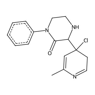 CC1=CC(Cl)(C2NCCN(c3ccccc3)C2=O)CC=N1